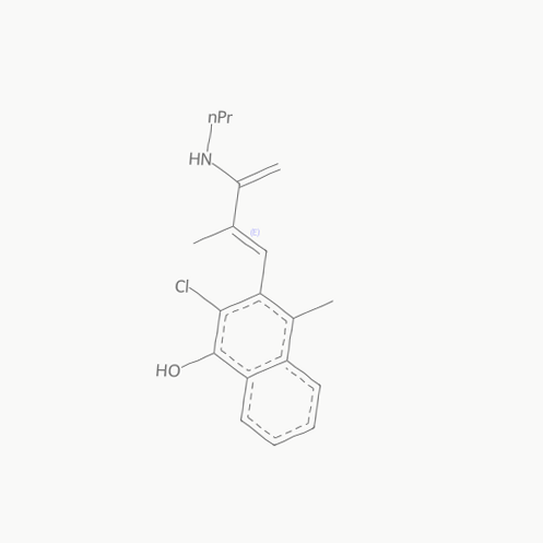 C=C(NCCC)/C(C)=C/c1c(Cl)c(O)c2ccccc2c1C